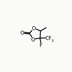 CC1OC(=O)OC1(F)C(F)(F)F